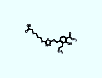 CCCc1c(CSc2nnc(SCCCSCC(=O)O)s2)ccc(C(C)=O)c1O